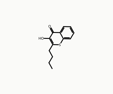 CCCCc1sc2ccccc2c(=O)c1O